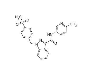 Cc1ccc(NC(=O)c2nn(Cc3ccc(S(C)(=O)=O)cc3)c3ccccc23)cn1